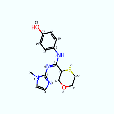 Cn1ccnc1N=C(Nc1ccc(O)cc1)C1COCCS1